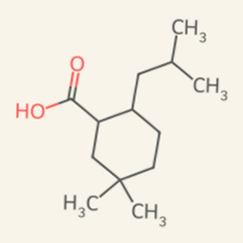 CC(C)CC1CCC(C)(C)CC1C(=O)O